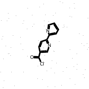 O=C(Cl)c1ccc(-c2ccccn2)nc1